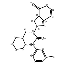 Cc1ccnc(NC(=O)[C@H](CC2CCCCC2)N2C=C3C=CCC(=O)C3C2)c1